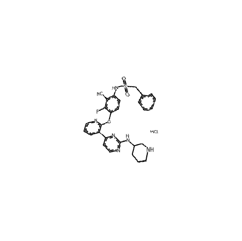 Cl.N#Cc1c(NS(=O)(=O)Cc2ccccc2)ccc(Oc2ncccc2-c2ccnc(NC3CCCNC3)n2)c1F